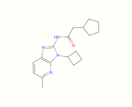 Cc1ccc2nc(NC(=O)CC3CCCC3)n(C3CCC3)c2n1